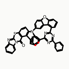 O=c1c2c(ccc3c2c2ccccc2n3-c2ccc3oc4cccc(-c5nc(-c6ccccc6)nc(-c6ccccc6)n5)c4c3c2)sc2nc3ccccc3n12